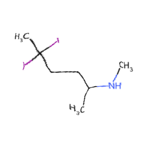 CNC(C)CCC(C)(I)I